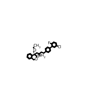 CCOC[C@]1(C[C@H](N)CCc2ccc(-c3cc(Cl)ccc3F)cc2)C(=O)OCc2ccccc21